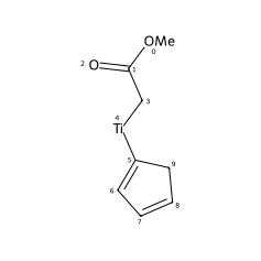 COC(=O)[CH2][Ti][C]1=CC=CC1